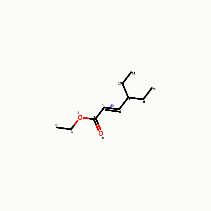 CCOC(=O)/C=C/C(CC)CC